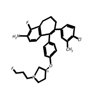 Cc1cc(C2=C(c3ccc(O[C@H]4CCN(CCCF)C4)cc3)c3ccc(N)c(F)c3CCC2)ccc1Cl